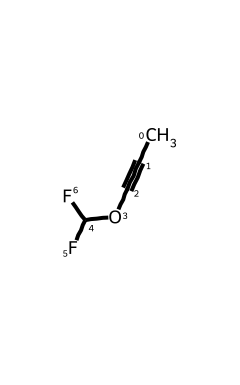 CC#COC(F)F